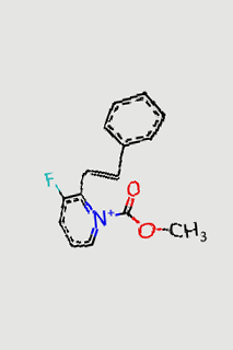 COC(=O)[n+]1cccc(F)c1C=Cc1ccccc1